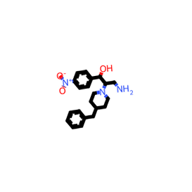 NCC(C(O)c1ccc([N+](=O)[O-])cc1)N1CCC(Cc2ccccc2)CC1